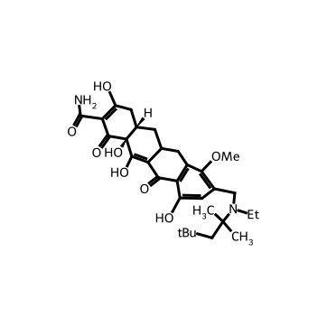 CCN(Cc1cc(O)c2c(c1OC)CC1C[C@H]3CC(O)=C(C(N)=O)C(=O)[C@@]3(O)C(O)=C1C2=O)C(C)(C)CC(C)(C)C